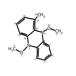 CON1c2ccccc2N(OC)c2c(C)cccc21